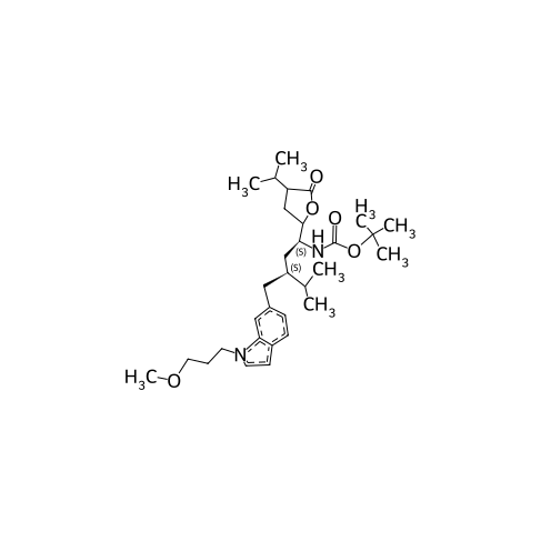 COCCCn1ccc2ccc(C[C@@H](C[C@H](NC(=O)OC(C)(C)C)C3CC(C(C)C)C(=O)O3)C(C)C)cc21